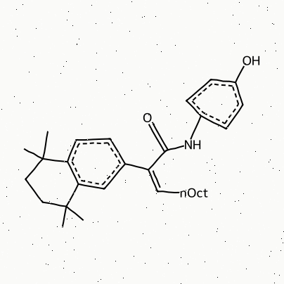 CCCCCCCCC=C(C(=O)Nc1ccc(O)cc1)c1ccc2c(c1)C(C)(C)CCC2(C)C